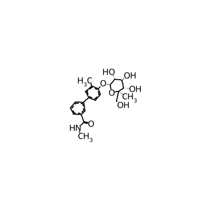 CNC(=O)c1cccc(-c2ccc(O[C@H]3O[C@](C)(CO)[C@@H](O)[C@@H](O)[C@H]3O)c(C)c2)c1